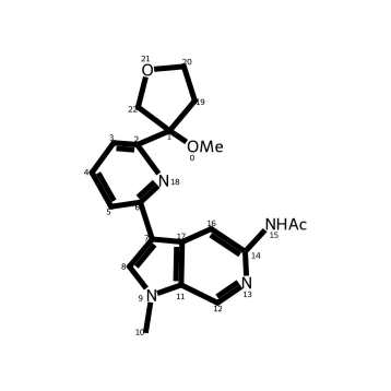 COC1(c2cccc(-c3cn(C)c4cnc(NC(C)=O)cc34)n2)CCOC1